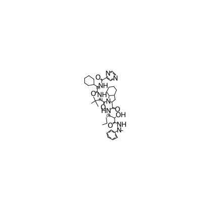 CCC[C@H](NC(=O)C1CC2CCCCC2N1C(=O)[C@@H](NC(=O)[C@@H](NC(=O)c1cnccn1)C1CCCCC1)C(C)(C)C)C(O)C(=O)NN(C)c1ccccc1